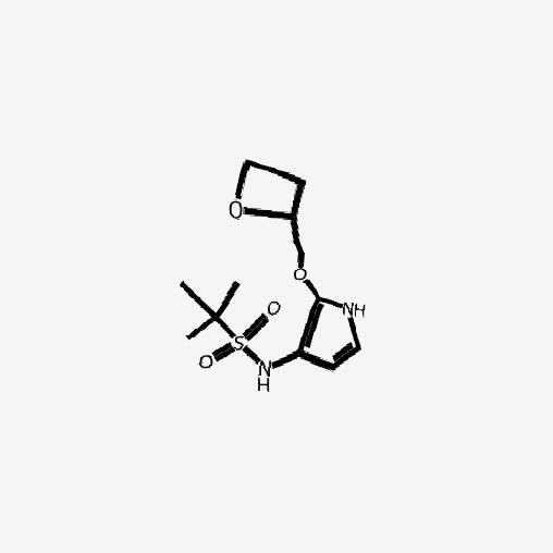 CC(C)(C)S(=O)(=O)Nc1cc[nH]c1OCC1CCO1